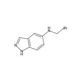 CC(C)CNc1ccc2[nH]ncc2c1